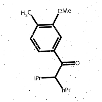 CCCC(C(=O)c1ccc(C)c(OC)c1)C(C)C